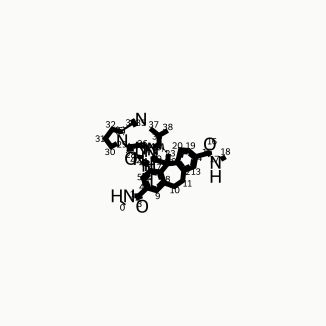 CNC(=O)c1ccc2c(c1)CCc1cc(C(=O)NC)ccc1C2(C[C@H](NCC(=O)N1CCC[C@H]1C#N)C(C)C)c1nnn[nH]1